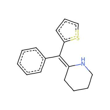 c1ccc(C(=C2CCCCN2)c2cccs2)cc1